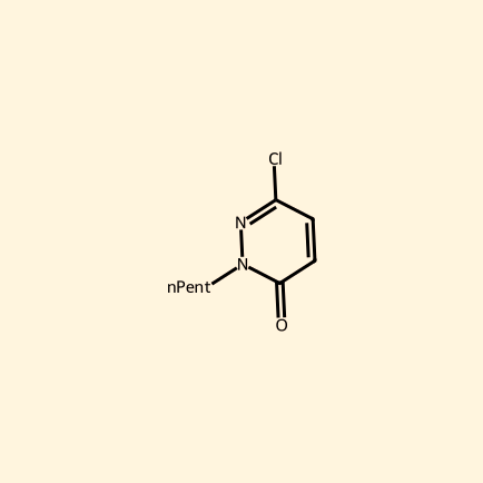 CCCCCn1nc(Cl)ccc1=O